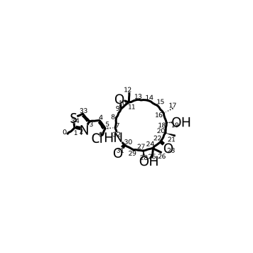 Cc1nc(C=C(Cl)[C@@H]2CC3OC3(C)CCC[C@H](C)[C@H](O)[C@@H](C)C(=O)C(C)(C)[C@@H](O)CC(=O)N2)cs1